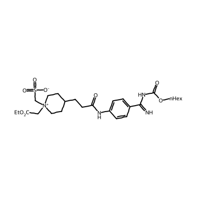 CCCCCCOC(=O)NC(=N)c1ccc(NC(=O)CCC2CC[N+](CC(=O)OCC)(CS(=O)(=O)[O-])CC2)cc1